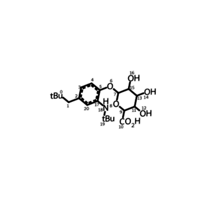 CC(C)(C)Cc1ccc(OC2OC(C(=O)O)C(O)C(O)C2O)c(NC(C)(C)C)c1